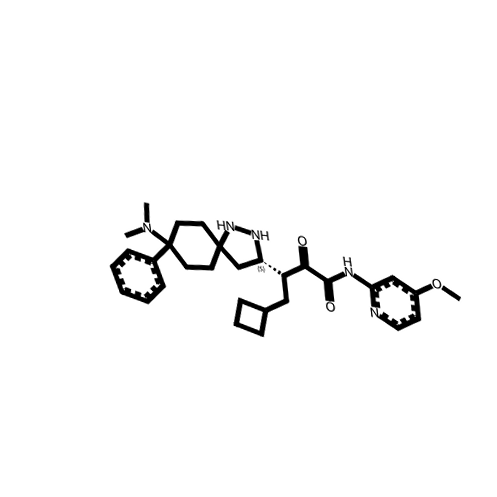 COc1ccnc(NC(=O)C(=O)C(CC2CCC2)[C@@H]2CC3(CCC(c4ccccc4)(N(C)C)CC3)NN2)c1